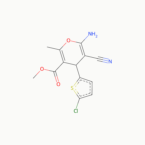 COC(=O)C1=C(C)OC(N)=C(C#N)C1c1ccc(Cl)s1